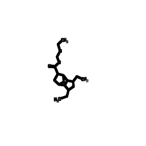 CCOCOC(=O)C1CC2CC1C1C(CC)CC(CC)C21